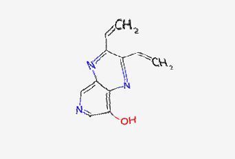 C=Cc1nc2cncc(O)c2nc1C=C